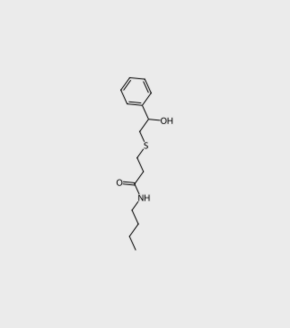 CCCCNC(=O)CCSCC(O)c1ccccc1